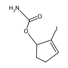 NC(=O)OC1CCC=C1I